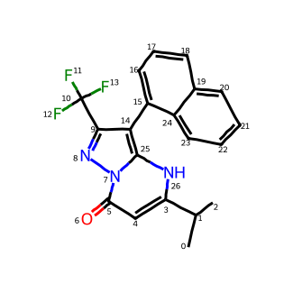 CC(C)c1cc(=O)n2nc(C(F)(F)F)c(-c3cccc4ccccc34)c2[nH]1